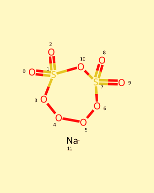 O=S1(=O)OOOOS(=O)(=O)O1.[Na]